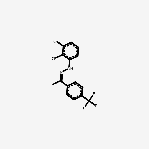 CC(=NNc1cccc(Cl)c1Cl)c1ccc(C(F)(F)F)cc1